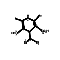 CCC(CC)C1C(C(=O)O)=C(C)NC(C)=C1C(=O)O